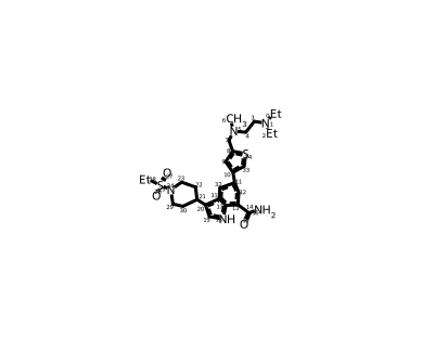 CCN(CC)CCN(C)Cc1cc(-c2cc(C(N)=O)c3[nH]cc(C4CCN(S(=O)(=O)CC)CC4)c3c2)cs1